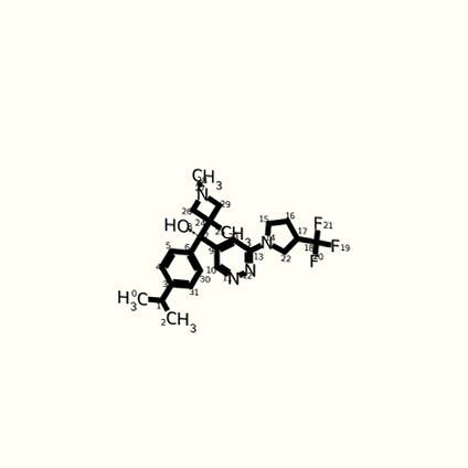 CC(C)c1ccc([C@](O)(c2cnnc(N3CCC(C(F)(F)F)C3)c2)C2(C)CN(C)C2)cc1